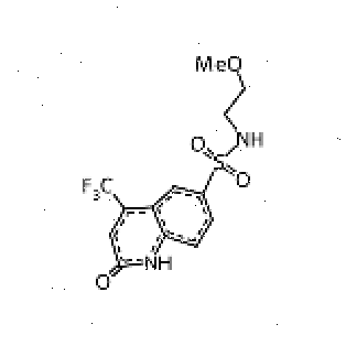 COCCNS(=O)(=O)c1ccc2[nH]c(=O)cc(C(F)(F)F)c2c1